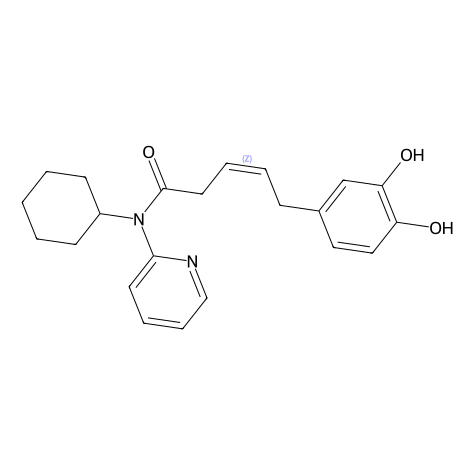 O=C(C/C=C\Cc1ccc(O)c(O)c1)N(c1ccccn1)C1CCCCC1